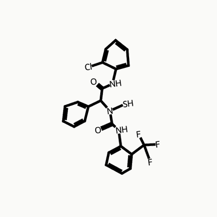 O=C(Nc1ccccc1Cl)C(c1ccccc1)N(S)C(=O)Nc1ccccc1C(F)(F)F